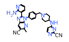 Cc1nc2c(cc1C#N)nc(-c1cccnc1N)n2-c1ccc(CN2CCC(Nc3ccnc(C#N)n3)CC2)cc1